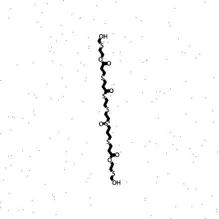 O=C(CCSCCC[S+]([O-])CCSCCSC(=O)CCSCCC(=O)OCCSCO)OCCSCO